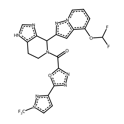 O=C(c1nnc(-c2ccn(C(F)(F)F)n2)o1)N1CCc2[nH]cnc2C1c1cc2c(OC(F)F)cccn2n1